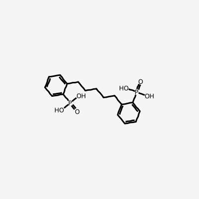 O=P(O)(O)c1ccccc1CCCCCc1ccccc1P(=O)(O)O